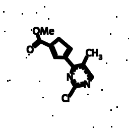 COC(=O)C1=CC(c2nc(Cl)ncc2C)=CC1